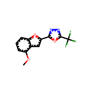 COc1cccc2oc(-c3nnc(C(F)(F)F)o3)cc12